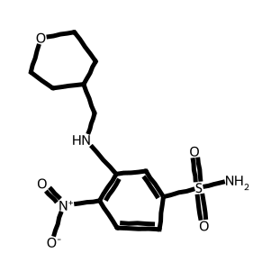 NS(=O)(=O)c1ccc([N+](=O)[O-])c(NCC2CCOCC2)c1